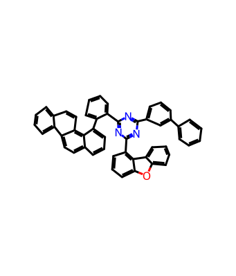 c1ccc(-c2cccc(-c3nc(-c4ccccc4-c4cccc5ccc6c7ccccc7ccc6c45)nc(-c4cccc5oc6ccccc6c45)n3)c2)cc1